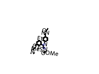 CCc1cc(OCCN(C)C)c(F)c(C(=N\c2ccc(-c3noc(C)n3)cc2)/C(=N/C(=O)OC)SC)c1